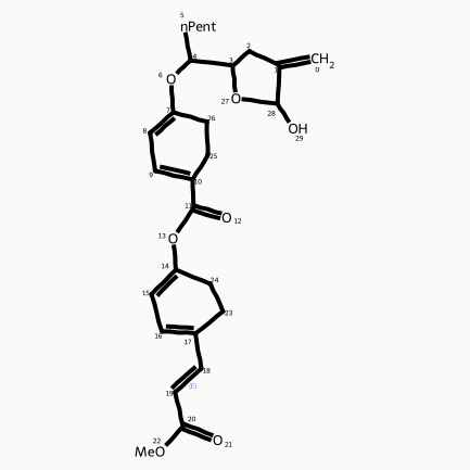 C=C1CC(C(CCCCC)OC2=CC=C(C(=O)OC3=CC=C(/C=C/C(=O)OC)CC3)CC2)OC1O